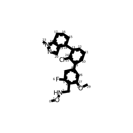 CONCc1c(F)cc(-c2cccc(-c3cccc4c3cnn4C)c2Cl)cc1OC